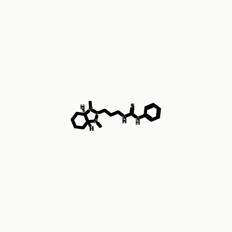 CN1[C@@H]2CCCC[C@H]2N(C)P1CCCNC(=S)Nc1ccccc1